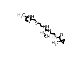 Cc1cnc(CSCCNC(=NCCNC(=O)C2(C)CC2)NC#N)[nH]1